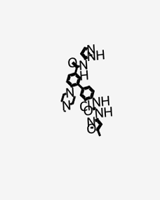 Cc1cc(NC(=O)Nc2ccc(-c3cc(C(=O)Nc4ccn[nH]4)ccc3N3CCN(C)CC3)cc2Cl)no1